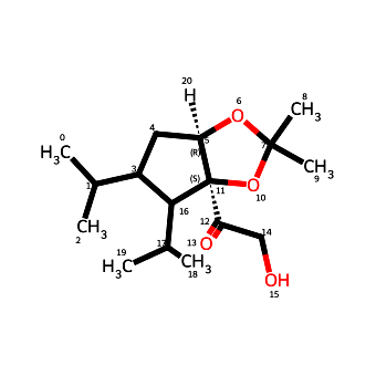 CC(C)C1C[C@H]2OC(C)(C)O[C@@]2(C(=O)CO)C1C(C)C